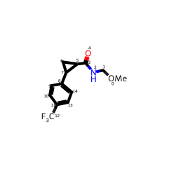 COCNC(=O)C1CC1c1ccc(C(F)(F)F)cc1